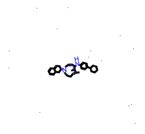 CC1=C(Nc2ccc(C3CCCCC3)cc2)\C=C/CN(C2CC=C3C=CC=CC3C2)CCC\C=C\1C